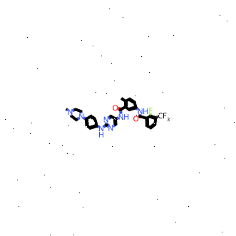 Cc1ccc(NC(=O)c2cccc(C(F)(F)F)c2F)cc1C(=O)Nc1cnc(Nc2ccc(N3CCN(C)CC3)cc2)nc1